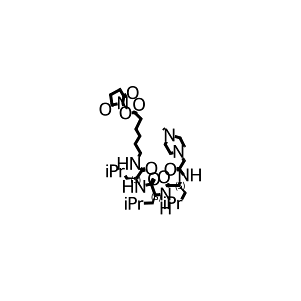 CC(C)C[C@H](NC(=O)CN1CCN(C)CC1)C(=O)N[C@@H](CC(C)C)C(=O)N[C@@H](CC(C)C)C(=O)NCCCCCC(=O)ON1C(=O)CCC1=O